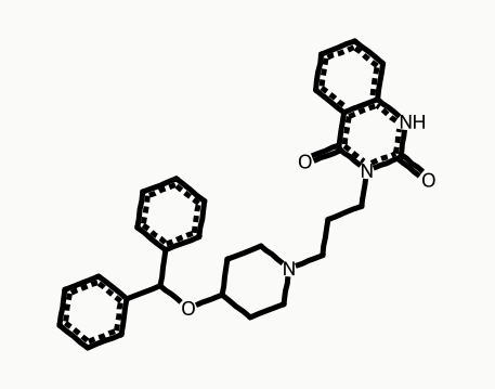 O=c1[nH]c2ccccc2c(=O)n1CCCN1CCC(OC(c2ccccc2)c2ccccc2)CC1